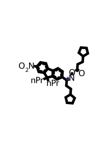 CCCC1(CCC)c2cc(/C(CCC3CCCC3)=N\OC(=O)CCC3CCCC3)ccc2-c2ccc([N+](=O)[O-])cc21